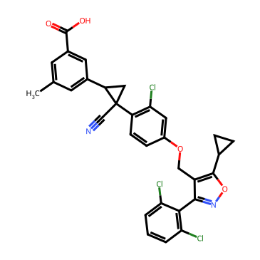 Cc1cc(C(=O)O)cc(C2CC2(C#N)c2ccc(OCc3c(-c4c(Cl)cccc4Cl)noc3C3CC3)cc2Cl)c1